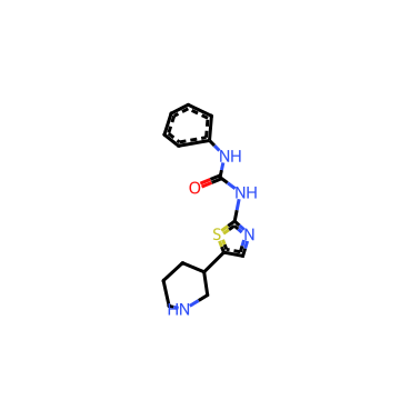 O=C(Nc1ccccc1)Nc1ncc(C2CCCNC2)s1